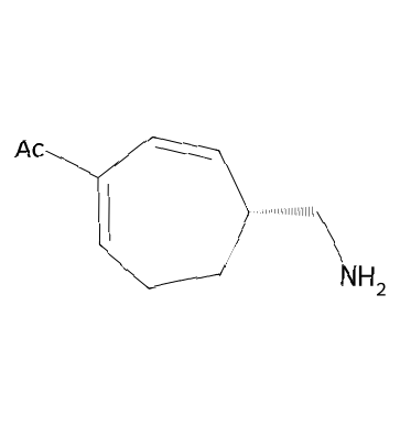 CC(=O)C1=CCC[C@@H](CN)C=C1